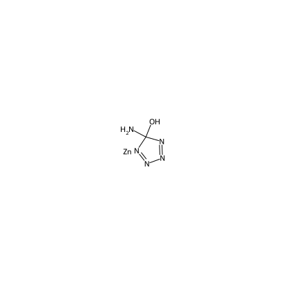 NC1(O)N=NN=N1.[Zn]